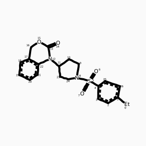 CCc1ccc(S(=O)(=O)N2CCC(N3C(=O)OCc4ccccc43)CC2)cc1